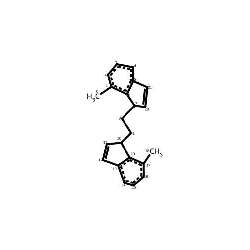 Cc1cccc2c1[C](CC[C]1C=Cc3cccc(C)c31)C=C2